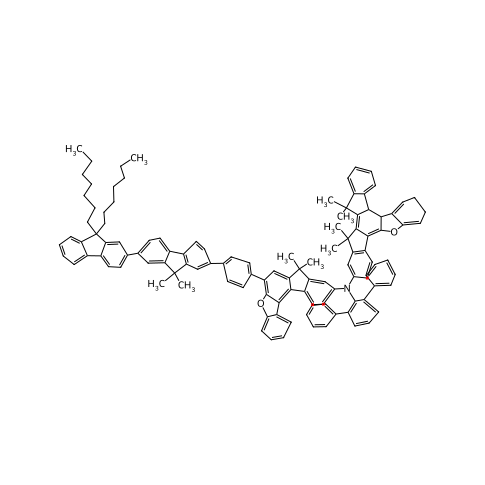 CCCCCCCC1(CCCCCCC)c2ccccc2-c2ccc(-c3ccc4c(c3)C(C)(C)c3cc(-c5ccc(-c6cc7c(c8c6oc6ccccc68)-c6ccc(N(c8ccc9c(c8)C(C)(C)C8=C%10C(c%11ccccc%11C%10(C)C)C%10C%11=CCCC=C%11OC%10=C89)c8c(-c9ccccc9)cccc8-c8ccccc8)cc6C7(C)C)cc5)ccc3-4)cc21